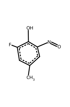 Cc1cc(F)c(O)c(N=O)c1